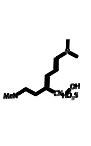 CNCCC(C#N)=CC=CN(C)C.O=S(=O)(O)O